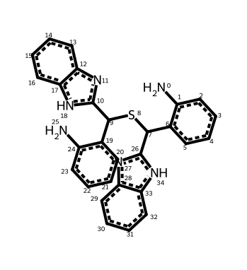 Nc1ccccc1C(SC(c1nc2ccccc2[nH]1)c1ccccc1N)c1nc2ccccc2[nH]1